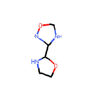 C1COC(C2[N]OCN2)N1